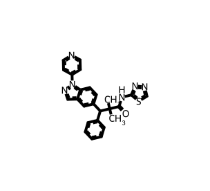 CC(C)(C(=O)Nc1nncs1)C(c1ccccc1)c1ccc2c(cnn2-c2ccncc2)c1